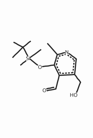 Cc1ncc(CO)c(C=O)c1O[Si](C)(C)C(C)(C)C